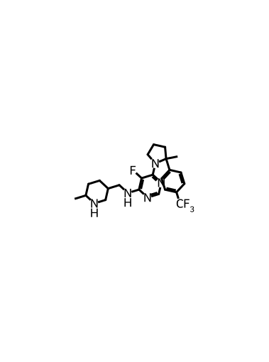 CC1CCC(CNc2ncnc(N3CCCC3(C)c3ccc(C(F)(F)F)cc3)c2F)CN1